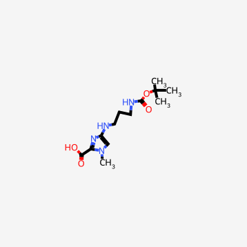 Cn1cc(NCCCNC(=O)OC(C)(C)C)nc1C(=O)O